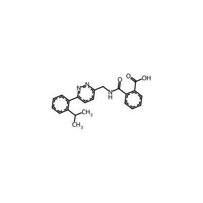 CC(C)c1ccccc1-c1ccc(CNC(=O)c2ccccc2C(=O)O)nn1